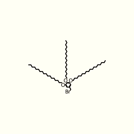 CCCCCCCCCCCCCCCCCCOc1cc(CBr)cc(OCCCCCCCCCCCCCCCCCC)c1OCCCCCCCCCCCCCCCCCC